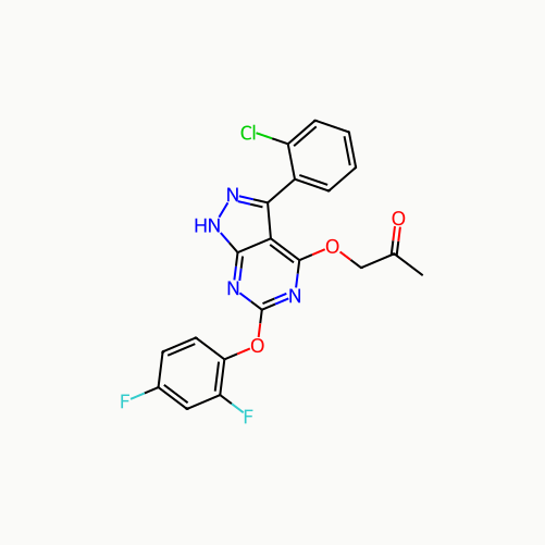 CC(=O)COc1nc(Oc2ccc(F)cc2F)nc2[nH]nc(-c3ccccc3Cl)c12